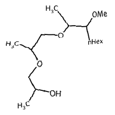 CCCCCCC(OC)C(C)OCC(C)OCC(C)O